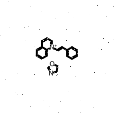 C(=C[n+]1cccc2ccccc21)c1ccccc1.C1=NCCO1